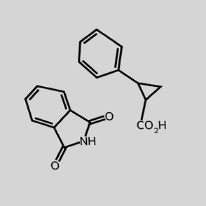 O=C(O)C1CC1c1ccccc1.O=C1NC(=O)c2ccccc21